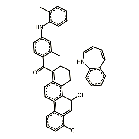 C1=CNc2ccccc2C=C1.Cc1ccccc1Nc1ccc(C(=O)C2=c3ccc4c(c3CCC2)C(O)C=c2c(Cl)cccc2=4)c(C)c1